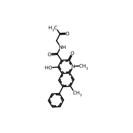 CC(=O)CNC(=O)c1c(O)c2cc(-c3ccccc3)c(C)cc2n(C)c1=O